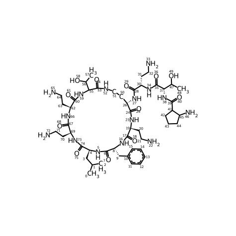 CC(C)C[C@@H]1NC(=O)[C@@H](Cc2ccccc2)NC(=O)[C@H](CCN)NC(=O)[C@@H](NC(=O)[C@H](CCN)NC(=O)[C@@H](NC(=O)C2CCCC2N)C(C)O)CCNC(=O)C(C(C)O)NC(=O)[C@H](CCN)NC(=O)[C@H](CCN)NC1=O